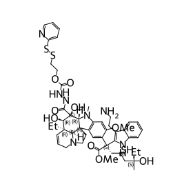 CC[C@](C)(O)C[C@@H](S)C[C@](C(=O)OC)(c1cc2c(cc1OC)N(C)[C@H]1[C@@](O)(C(=O)NNC(=O)OCCSSc3ccccn3)[C@H](O)[C@]3(CC)C=CCN4CC[C@]21[C@@H]43)c1[nH]c2ccccc2c1CCN